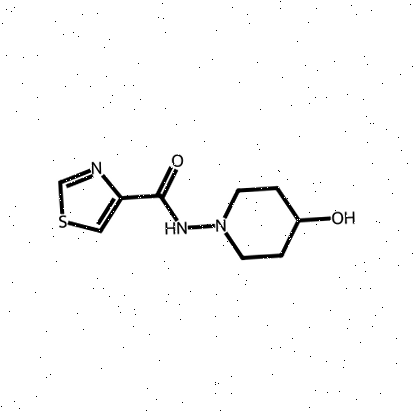 O=C(NN1CCC(O)CC1)c1cscn1